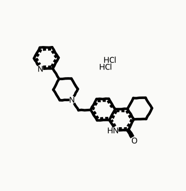 Cl.Cl.O=c1[nH]c2cc(CN3CCC(c4ccccn4)CC3)ccc2c2c1CCCC2